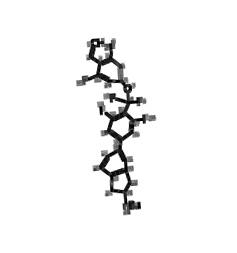 C=Cc1c(F)cc(OC(F)(F)c2c(F)cc(-c3ccc4c(c3)CC(CCCC)C4)cc2F)cc1F